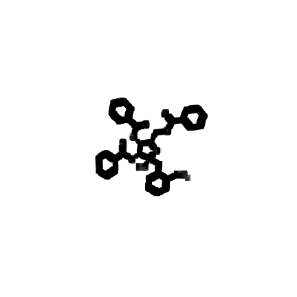 O=C(OC[C@H]1O[C@@](O)(Cc2ccccc2[N+](=O)[O-])[C@H](OC(=O)c2ccccc2)[C@@H]1OC(=O)c1ccccc1)c1ccccc1